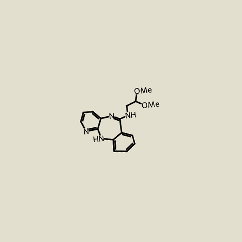 COC(CNC1=Nc2cccnc2Nc2ccccc21)OC